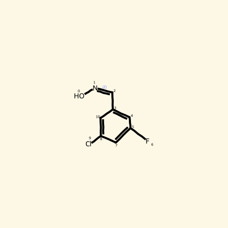 O/N=C\c1cc(F)cc(Cl)c1